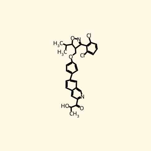 CC(O)C(=O)c1cc2ccc(-c3ccc(OCC4C(c5c(Cl)cccc5Cl)=NOC4C(C)C)cc3)cc2cn1